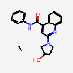 CC.O=C(Nc1ccccc1)c1cc(N2CCC(O)C2)nc2ccccc12